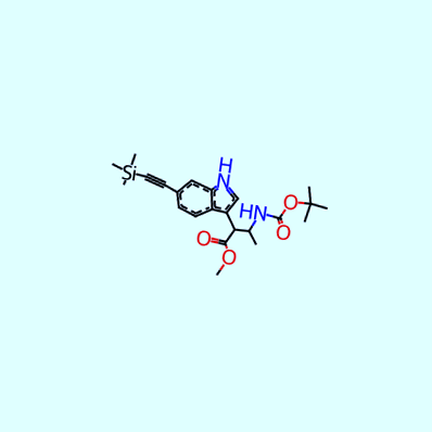 COC(=O)C(c1c[nH]c2cc(C#C[Si](C)(C)C)ccc12)C(C)NC(=O)OC(C)(C)C